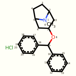 CN1C2CCC1CC(OC(c1ccccc1)c1ccccc1)C2.Cl